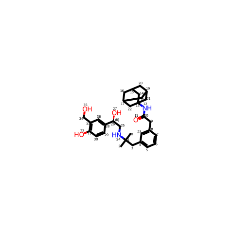 CC(C)(Cc1cccc(CC(=O)NC23CC4CC(CC(C4)C2)C3)c1)NC[C@H](O)c1ccc(O)c(CO)c1